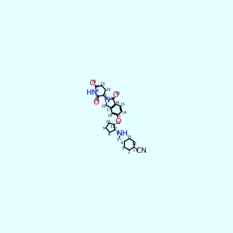 N#C[C@H]1CC[C@H](CN[C@@H]2CCC[C@@H]2Oc2ccc3c(c2)CN(C2CCC(=O)NC2=O)C3=O)CC1